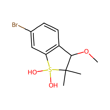 COC1c2ccc(Br)cc2S(O)(O)C1(C)C